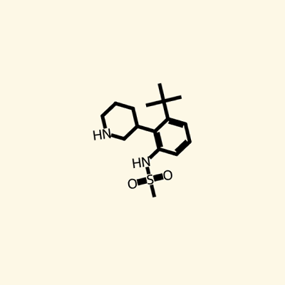 CC(C)(C)c1cccc(NS(C)(=O)=O)c1C1CCCNC1